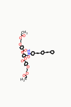 C=CC(=O)OCCCOc1ccc(C(=O)Oc2ccc(OC(=O)c3ccc(OCCCOC(=O)C=C)cc3)c(C(=O)Nc3ccc(C#Cc4ccc(C#Cc5ccccc5)cc4)cc3)c2)cc1